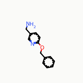 NCc1ccc(OCc2ccccc2)nc1